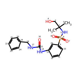 CC(C)(CO)NS(=O)(=O)c1cccc(NC(=O)NCc2ccccc2)c1